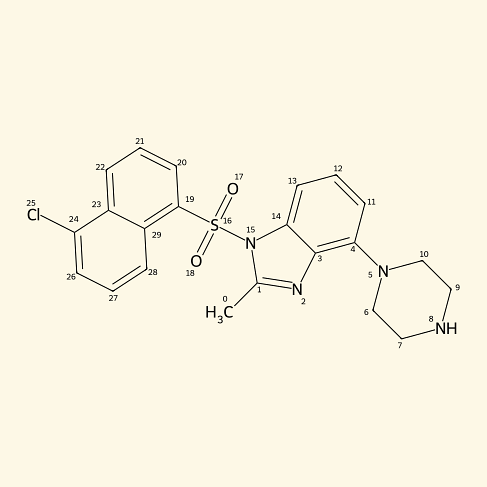 Cc1nc2c(N3CCNCC3)cccc2n1S(=O)(=O)c1cccc2c(Cl)cccc12